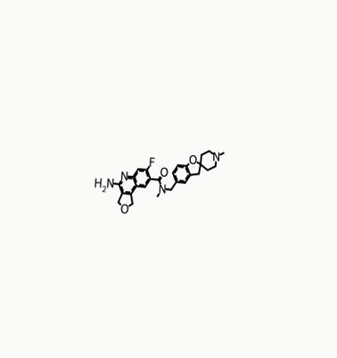 CN1CCC2(CC1)Cc1cc(CN(C)C(=O)c3cc4c5c(c(N)nc4cc3F)COC5)ccc1O2